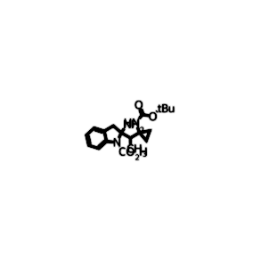 CC(C1(NC(=O)OC(C)(C)C)CC1)C1(N)Cc2ccccc2N1C(=O)O